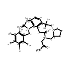 NC(=O)CN(CC1CCCO1)C(=O)Cc1c(C(F)(F)F)ccc2[nH]c(=O)n(Cc3c(F)c(F)c(F)c(F)c3F)c12